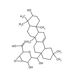 CC1(C)CCC2(C(O)C3OC(C(=O)O)C4OC4C3O)CCC3C(=CCC4C3(C)CCC3C(C)(C)C(O)CCC34C)C2C1